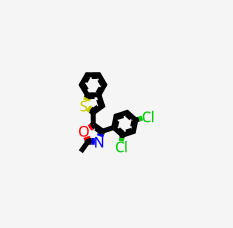 Cc1nc(-c2ccc(Cl)cc2Cl)c(-c2cc3ccccc3s2)o1